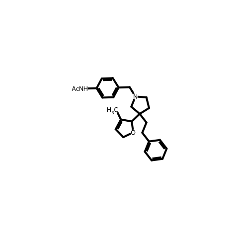 CC(=O)Nc1ccc(CN2CCC(CCc3ccccc3)(C3OCC=C3C)C2)cc1